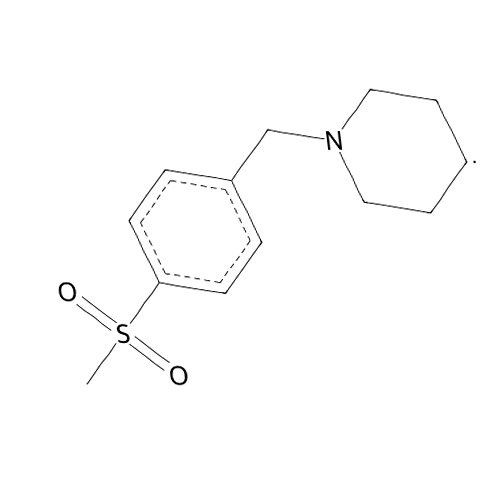 CS(=O)(=O)c1ccc(CN2CC[CH]CC2)cc1